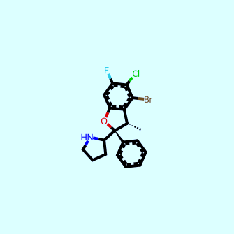 C[C@H]1c2c(cc(F)c(Cl)c2Br)O[C@@]1(c1ccccc1)C1CCCN1